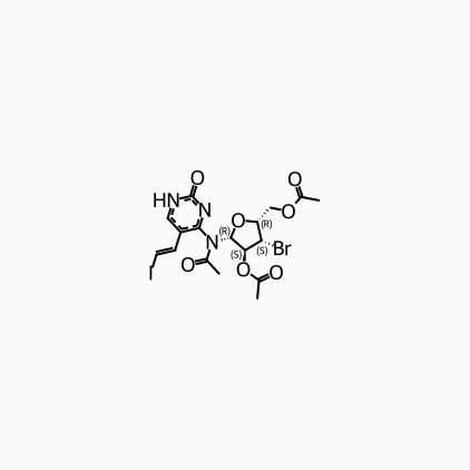 CC(=O)OC[C@H]1O[C@@H](N(C(C)=O)c2nc(=O)[nH]cc2C=CI)[C@H](OC(C)=O)[C@H]1Br